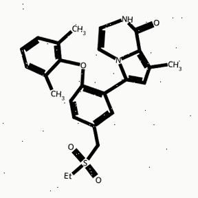 CCS(=O)(=O)Cc1ccc(Oc2c(C)cccc2C)c(-c2cc(C)c3c(=O)[nH]ccn23)c1